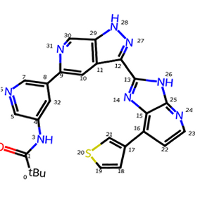 CC(C)(C)C(=O)Nc1cncc(-c2cc3c(-c4nc5c(-c6ccsc6)ccnc5[nH]4)n[nH]c3cn2)c1